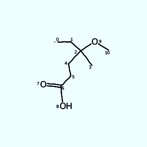 [CH2]CC(C)(CCC(=O)O)OC